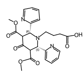 COC(=O)C1C(=O)C(C(=O)OC)[C@H](c2ccccn2)N(CCCC(=O)O)[C@@H]1c1ccccn1